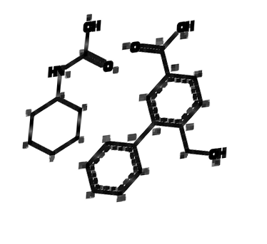 O=C(O)NC1CCCCC1.O=C(O)c1ccc(CO)c(-c2ccccc2)c1